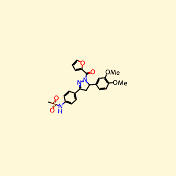 COc1ccc(C2CC(c3ccc(NS(C)(=O)=O)cc3)=NN2C(=O)c2ccco2)cc1OC